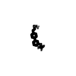 [CH2]CCc1ccc(-c2cccc(OC(F)(F)F)c2)cc1